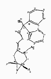 CC(=O)N1C[C@@H]2C[C@@H]2C[C@H]1CCO[Si](c1ccccc1)(c1ccccc1)C(C)(C)C